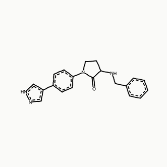 O=C1C(NCc2ccccc2)CCN1c1ccc(-c2cn[nH]c2)cc1